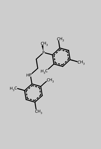 Cc1cc(C)c(PCC[P@@](C)c2c(C)cc(C)cc2C)c(C)c1